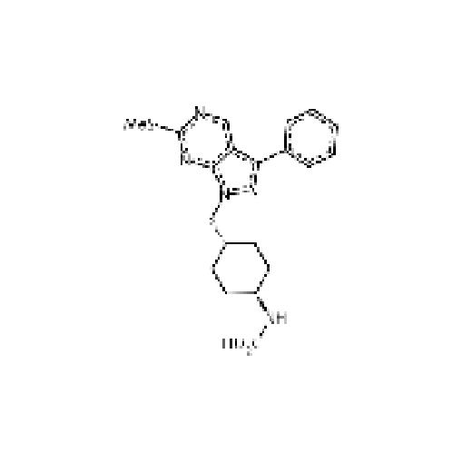 CSc1ncc2c(-c3ccccc3)nn(C[C@H]3CC[C@H](NC(=O)O)CC3)c2n1